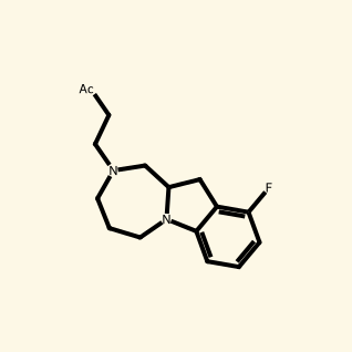 CC(=O)CCN1CCCN2c3cccc(F)c3CC2C1